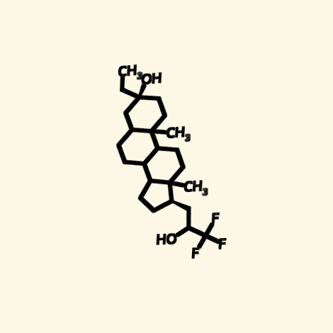 CC[C@]1(O)CCC2(C)C(CCC3C2CCC2(C)C3CC[C@@H]2CC(O)C(F)(F)F)C1